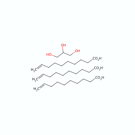 C=CCCCCCCCC(=O)O.C=CCCCCCCCC(=O)O.C=CCCCCCCCC(=O)O.OCC(O)CO